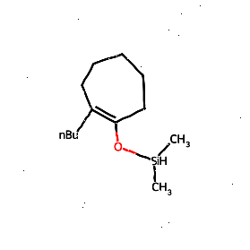 CCCCC1=C(O[SiH](C)C)CCCCC1